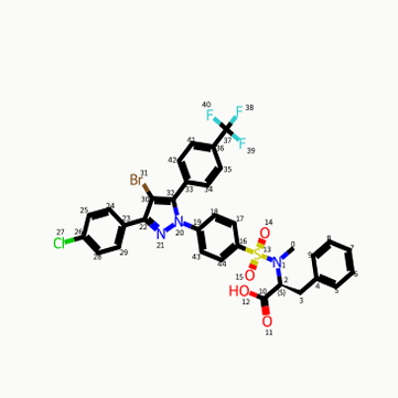 CN([C@@H](Cc1ccccc1)C(=O)O)S(=O)(=O)c1ccc(-n2nc(-c3ccc(Cl)cc3)c(Br)c2-c2ccc(C(F)(F)F)cc2)cc1